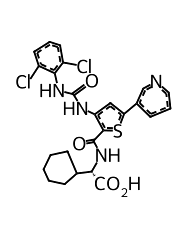 O=C(Nc1cc(-c2cccnc2)sc1C(=O)N[C@H](C(=O)O)C1CCCCC1)Nc1c(Cl)cccc1Cl